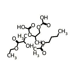 CC(COC(=O)O)OC(=O)O.CCCCOC(C)=O.CCOC(=O)C(C)O